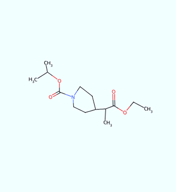 CCOC(=O)C(C)C1CCN(C(=O)OC(C)C)CC1